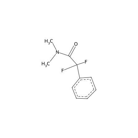 CN(C)C(=O)C(F)(F)c1ccccc1